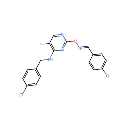 Fc1cnc(ON=Cc2ccc(Cl)cc2)nc1NCc1ccc(Cl)cc1